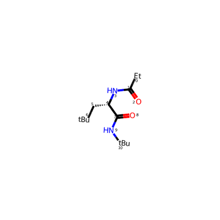 CCC(=O)N[C@@H](CC(C)(C)C)C(=O)NC(C)(C)C